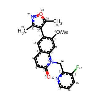 COc1cc2c(ccc(=O)n2Cc2ncccc2F)cc1-c1c(C)noc1C